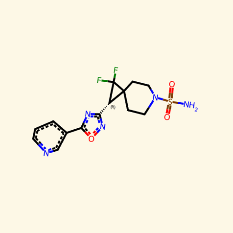 NS(=O)(=O)N1CCC2(CC1)[C@H](c1noc(-c3cccnc3)n1)C2(F)F